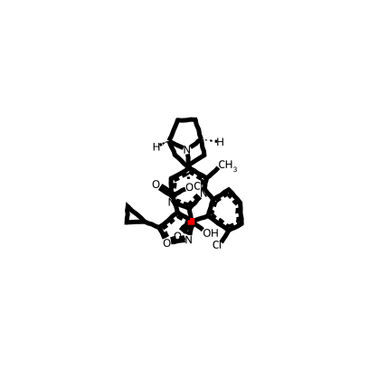 Cc1nc(C(=O)O)ncc1N1[C@@H]2CC[C@H]1C[C@H](OC(=O)c1c(-c3c(Cl)cccc3Cl)noc1C1CC1)C2